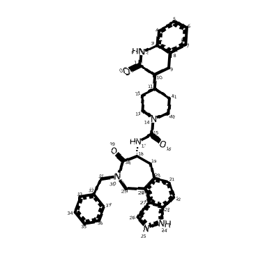 O=C1Nc2ccccc2CC1C1CCN(C(=O)N[C@@H]2Cc3ccc4[nH]ncc4c3CN(Cc3ccccc3)C2=O)CC1